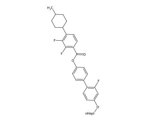 CCCCCCCOc1ccc(-c2ccc(OC(=O)c3ccc(C4CCC(C)CC4)c(F)c3F)cc2)c(F)c1